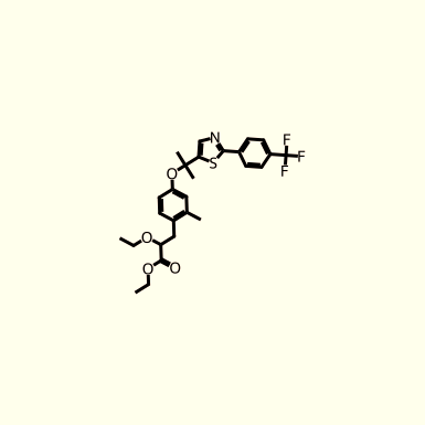 CCOC(=O)C(Cc1ccc(OC(C)(C)c2cnc(-c3ccc(C(F)(F)F)cc3)s2)cc1C)OCC